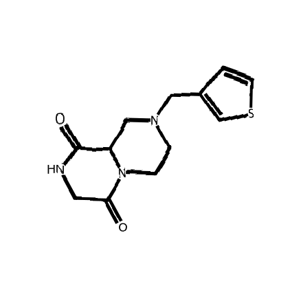 O=C1NCC(=O)N2CCN(Cc3ccsc3)CC12